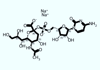 CC(=O)N[C@H]1[C@H]([C@H](O)[C@H](O)CO)O[C@](OP(=O)([O-])OC[C@@H]2O[C@@H](n3ccc(N)nc3=O)[C@H](O)[C@@H]2O)(C(=O)[O-])C[C@@H]1O.[Na+].[Na+]